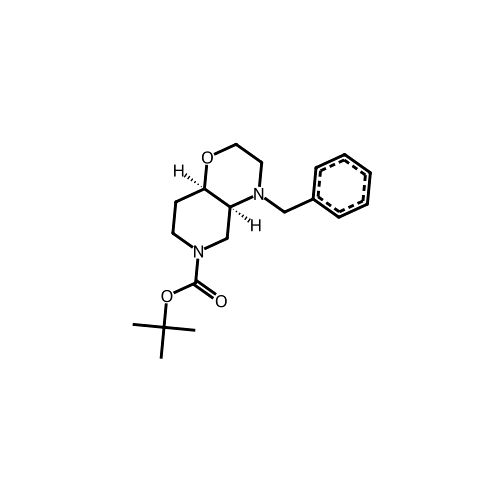 CC(C)(C)OC(=O)N1CC[C@H]2OCCN(Cc3ccccc3)[C@H]2C1